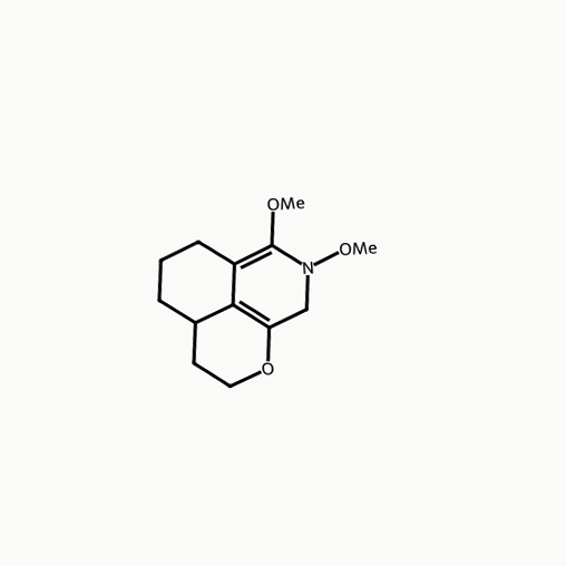 COC1=C2CCCC3CCOC(=C23)CN1OC